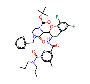 CCCN(CCC)C(=O)c1cc(C)cc(C(=O)N[C@@H](Cc2cc(F)cc(F)c2)[C@H](O)[C@H]2C(=O)N(Cc3ccccc3)CCN2C(=O)OC(C)(C)C)c1